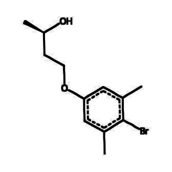 Cc1cc(OCC[C@@H](C)O)cc(C)c1Br